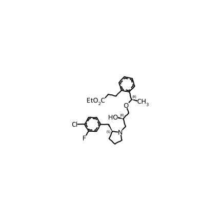 CCOC(=O)CCc1ccccc1[C@@H](C)OC[C@H](O)CN1CCC[C@H]1Cc1ccc(Cl)c(F)c1